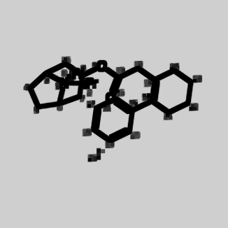 CC(C)[N+]1(C(C)C)C2CCC1CC(OC(=O)CC1=C(c3ccccc3)CCCC1)C2.[I-]